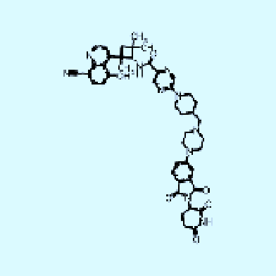 CC1(C)CC(C)(c2ccnc3c(C#N)ccc(O)c23)[C@H]1NC(=O)c1cnc(N2CCC(CN3CCN(c4ccc5c(c4)C(=O)N(C4CCC(=O)NC4=O)C5=O)CC3)CC2)cn1